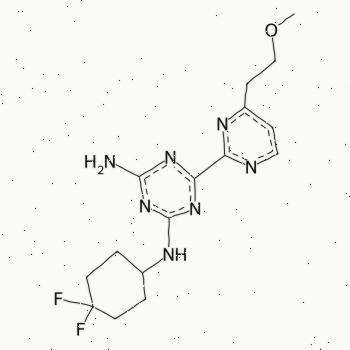 COCCc1ccnc(-c2nc(N)nc(NC3CCC(F)(F)CC3)n2)n1